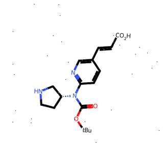 CC(C)(C)OC(=O)N(c1ccc(C=CC(=O)O)cn1)[C@@H]1CCNC1